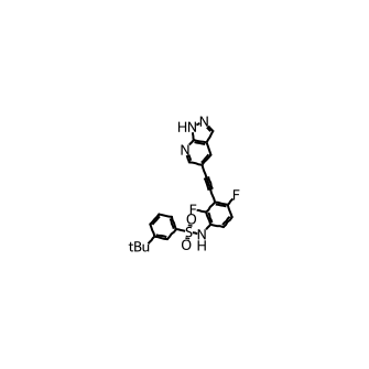 CC(C)(C)c1cccc(S(=O)(=O)Nc2ccc(F)c(C#Cc3cnc4[nH]ncc4c3)c2F)c1